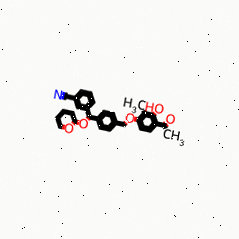 CC(=O)c1ccc(OCc2ccc(C(OC3CCCCO3)c3cccc(C#N)c3)cc2)c(C)c1O